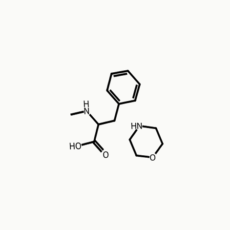 C1COCCN1.CNC(Cc1ccccc1)C(=O)O